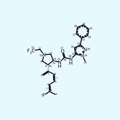 C=C(/C=C\C=C(/C)F)[C@@H]1CN(CC(F)(F)F)C[C@H]1NC(=O)Nc1cc(-c2ccccc2)nn1C